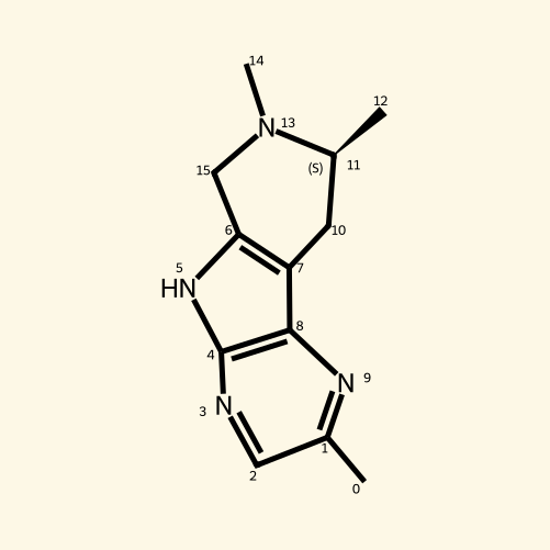 Cc1cnc2[nH]c3c(c2n1)C[C@H](C)N(C)C3